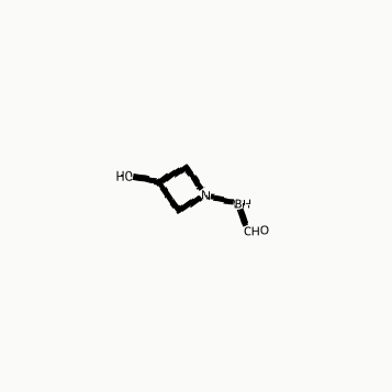 O=CBN1CC(O)C1